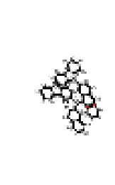 c1ccc(-c2c(N(c3ccc4oc5ccccc5c4n3)c3cccc4ccc(-n5c6ccccc6c6ccccc65)cc34)ccc3ccccc23)cc1